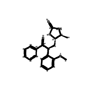 COc1ccccc1[C@H](C[C@@H]1OC(=O)N[C@H]1C)C(=O)c1ccccc1